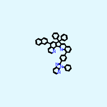 c1ccc(-n2c(-c3ccc(-c4cccc5cc6c(nc45)-c4c(cc(-c5ccc7ccccc7c5)c5cccnc45)C6(c4ccccc4)c4ccccc4)cc3)nc3cccnc32)cc1